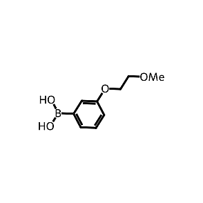 COCCOc1cccc(B(O)O)c1